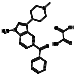 CN1CCC(c2cn(N)c3ccc(C(=O)c4ccccc4)cc23)CC1.O=C(O)C(=O)O